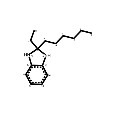 CCCCCCC1(CC)Nc2ccccc2N1